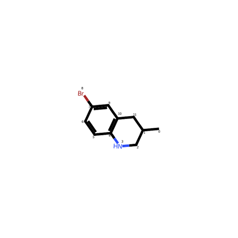 CC1CNc2ccc(Br)cc2C1